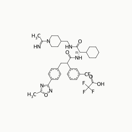 CC(=N)N1CCC(CNC(=O)[C@@H](NC(=O)C(Cc2ccc(-c3noc(C)n3)cc2)c2cccc(C(F)(F)F)c2)C2CCCCC2)CC1.O=C(O)C(F)(F)F